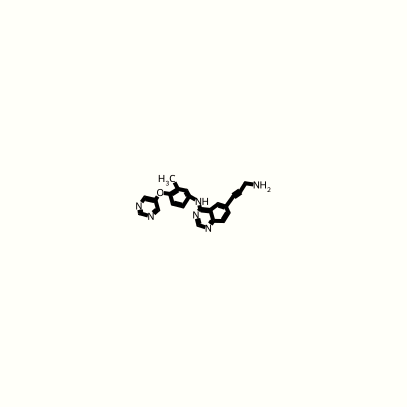 Cc1cc(Nc2ncnc3ccc(C#CCN)cc23)ccc1Oc1cncnc1